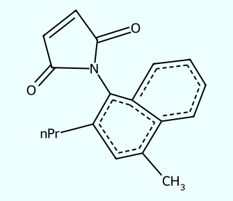 CCCc1cc(C)c2ccccc2c1N1C(=O)C=CC1=O